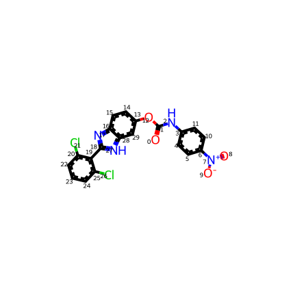 O=C(Nc1ccc([N+](=O)[O-])cc1)Oc1ccc2nc(-c3c(Cl)cccc3Cl)[nH]c2c1